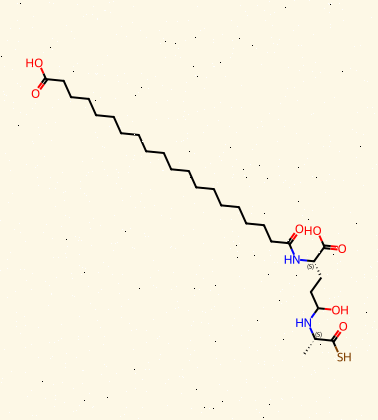 C[C@H](NC(O)CC[C@H](NC(=O)CCCCCCCCCCCCCCCCCCC(=O)O)C(=O)O)C(=O)S